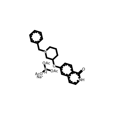 CC(=O)O[BH-](OC(C)=O)OC(C)=O.O=c1[nH]ccc2cc(OC3CCCN(Cc4ccccc4)C3)ccc12.[Na+]